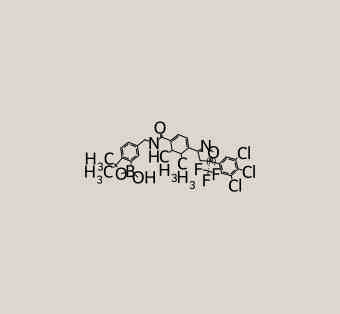 CC1C(C(=O)NCc2ccc3c(c2)B(O)OC3(C)C)=CC=C(C2=NO[C@](c3cc(Cl)c(Cl)c(Cl)c3)(C(F)(F)F)C2)C1C